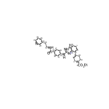 CCOC(=O)N1CC=C(c2ccc[nH]/c2=N\C(=N)Nc2ccc(C(=O)NCCc3cccnc3)cc2)CC1